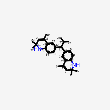 CC1=CC(C)(C)Nc2ccc(C(c3ccc4c(c3)C(C)=CC(C)(C)N4)C(C)C)cc21